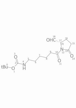 CC(C)(C)OC(=O)NCCCCCC(=O)N1C(=O)CC[C@H]1C=O